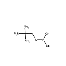 NC(N)(N)COP(O)O